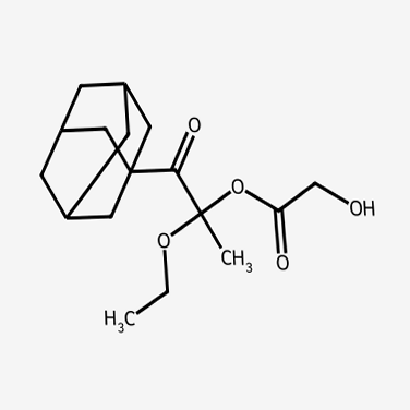 CCOC(C)(OC(=O)CO)C(=O)C12CC3CC(CC(C3)C1)C2